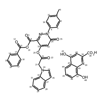 Cc1ccc(-n2nc(C(=O)OC(=O)c3ccccc3)c(OC(=O)Cn3ccc4ccccc43)cc2=O)cc1.O=C(O)c1cc(O)c2cccc(O)c2n1